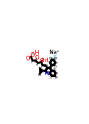 O=C([O-])CC(O)CC(O)C=Cc1c(C2CC2)nc2ccccc2c1-c1ccc(F)cc1.[Na+]